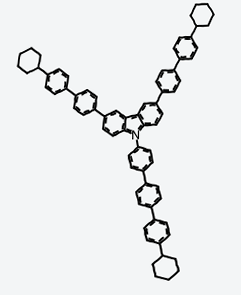 c1cc(-c2ccc(-n3c4ccc(-c5ccc(-c6ccc(C7CCCCC7)cc6)cc5)cc4c4cc(-c5ccc(-c6ccc(C7CCCCC7)cc6)cc5)ccc43)cc2)ccc1-c1ccc(C2CCCCC2)cc1